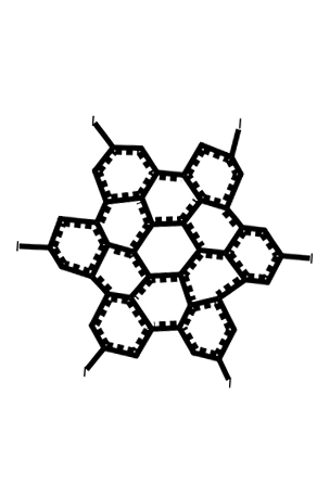 Ic1cc2c3cc(I)cc4c5cc(I)cc6c7cc(I)cc8c9cc(I)cc%10c%11cc(I)cc%12c(c1)c2c1c(c34)c(c56)c(c78)c(c%109)c1c%12%11